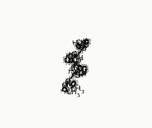 Cc1cccc(OP(OCCCCC(=O)Nc2c(C3=C([O-])/C(=c4/cc5c6c(c4NC(=O)CCCCOP(Oc4ccccc4C)Oc4ccccc4C)CCC[N+]=6CCC5)C3=O)cc3c4c2CCCN4CCC3)Oc2ccccc2C)c1